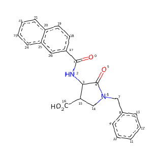 O=C(NC1C(=O)N(Cc2ccccc2)CC1C(=O)O)c1ccc2ccccc2c1